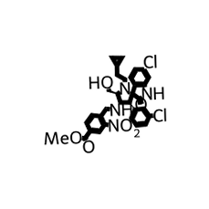 COC(=O)c1ccc(CN[C@H]2[C@@H](CO)N(CCC3CC3)[C@]3(C(=O)Nc4cc(Cl)ccc43)[C@@H]2c2cccc(Cl)c2)c([N+](=O)[O-])c1